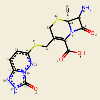 NC1C(=O)N2C(C(=O)O)=C(CSc3ccc4n[nH]c(=O)n4n3)CS[C@@H]12